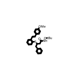 COc1ccc(C=Cc2ccccc2SC(CC(=O)NOC(C)(C)C)Cc2ccccc2)cc1